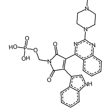 CN1CCN(c2nc(C3=C(c4c[nH]c5ccccc45)C(=O)N(COP(=O)(O)O)C3=O)c3ccccc3n2)CC1